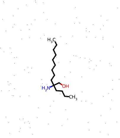 CCCCCCCCCC(N)(CO)CCCC